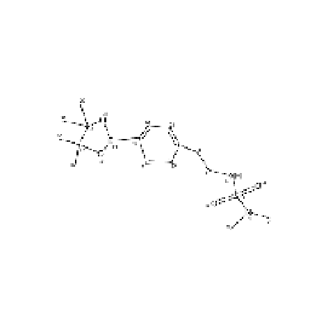 CN(C)S(=O)(=O)NCCc1ccc(B2OC(C)(C)C(C)(C)O2)cc1